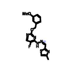 COc1cccc(COc2ncc(F)c(N/N=C\c3nc(C)cs3)n2)c1